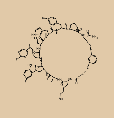 C[C@@H]1NC(=O)[C@H](CCCCN)NC(=O)CCSCc2cccc(c2)CSC[C@@H](C(N)=O)NC(=O)[C@@H]2CCCN2C(=O)[C@H](Cc2ccc(O)cc2)NC(=O)[C@H](Cc2c[nH]cn2)NC(=O)[C@H](CC(=O)O)NC(=O)[C@H](Cc2c[nH]c3ccc(F)cc23)NC(=O)[C@H](Cc2c[nH]c3ccc(F)cc23)NC1=O